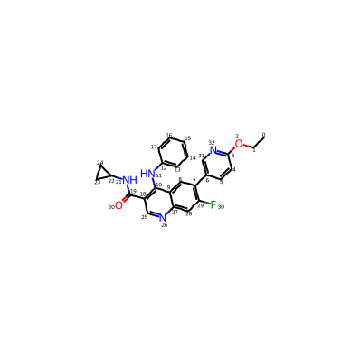 CCOc1ccc(-c2cc3c(Nc4ccccc4)c(C(=O)NC4CC4)cnc3cc2F)cn1